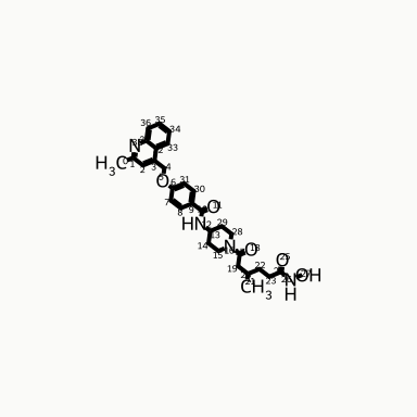 Cc1cc(COc2ccc(C(=O)NC3CCN(C(=O)CC(C)CCC(=O)NO)CC3)cc2)c2ccccc2n1